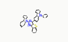 c1ccc(-n2c3ccccc3c3cc(-c4nc(-n5c6ccccc6c6ccccc65)nc5c4sc4ccccc45)ccc32)cc1